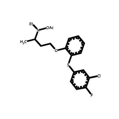 CCN(OC(C)=O)C(C)CCOc1ccccc1Sc1ccc(F)c(Cl)c1